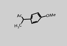 COc1ccc([C](C)C(C)=O)cc1